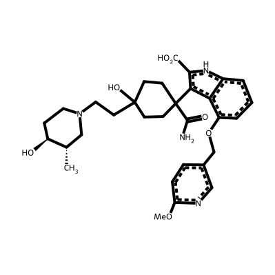 COc1ccc(COc2cccc3[nH]c(C(=O)O)c(C4(C(N)=O)CCC(O)(CCN5CC[C@H](O)[C@@H](C)C5)CC4)c23)cn1